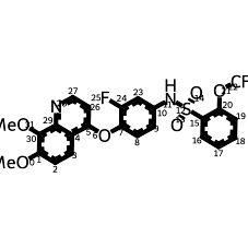 COc1ccc2c(Oc3ccc(NS(=O)(=O)c4ccccc4OC(F)(F)F)cc3F)ccnc2c1OC